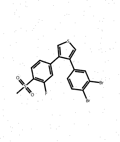 CS(=O)(=O)c1ccc(-c2cscc2-c2ccc(Br)c(Br)c2)cc1F